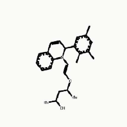 Cc1cc(C)c(C)c(C2C=Cc3ccccc3N2/C=C/OC(CC(O)C(C)(C)C)C(C)(C)C)c1